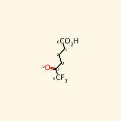 O=C(O)CCCC(=O)C(F)(F)F